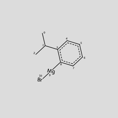 CC(C)c1cccc[c]1[Mg][Br]